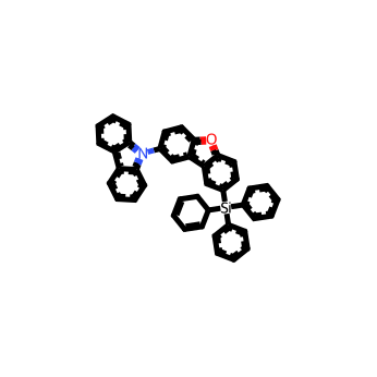 C1=CCC([Si](c2ccccc2)(c2ccccc2)c2ccc3oc4ccc(-n5c6ccccc6c6ccccc65)cc4c3c2)C=C1